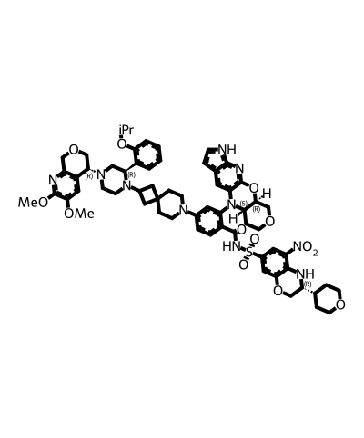 COc1cc2c(nc1OC)COC[C@@H]2N1CCN(C2CC3(CCN(c4ccc(C(=O)NS(=O)(=O)c5cc6c(c([N+](=O)[O-])c5)N[C@H](C5CCOCC5)CO6)c(N5c6cc7cc[nH]c7nc6O[C@H]6COCC[C@@H]65)c4)CC3)C2)[C@H](c2ccccc2OC(C)C)C1